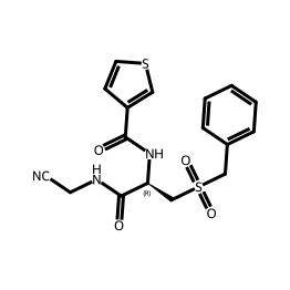 N#CCNC(=O)[C@H](CS(=O)(=O)Cc1ccccc1)NC(=O)c1ccsc1